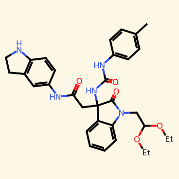 CCOC(CN1C(=O)C(CC(=O)Nc2ccc3c(c2)CCN3)(NC(=O)Nc2ccc(C)cc2)c2ccccc21)OCC